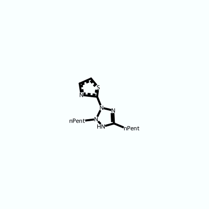 CCCCCC1=NN(c2nccs2)N(CCCCC)N1